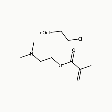 C=C(C)C(=O)OCCN(C)C.CCCCCCCCCCCl